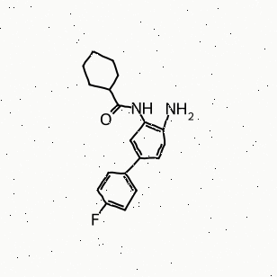 Nc1ccc(-c2ccc(F)cc2)cc1NC(=O)C1CCCCC1